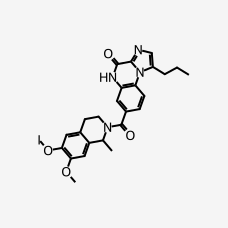 CCCc1cnc2c(=O)[nH]c3cc(C(=O)N4CCc5cc(OI)c(OC)cc5C4C)ccc3n12